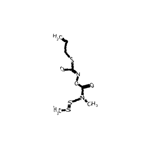 C=CCSC(Cl)=NOC(=O)N(C)SSC